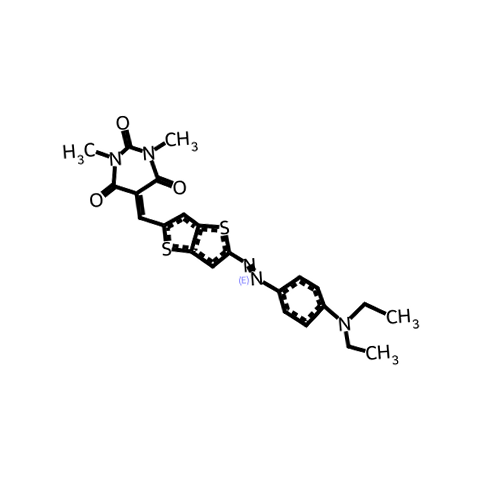 CCN(CC)c1ccc(/N=N/c2cc3sc(C=C4C(=O)N(C)C(=O)N(C)C4=O)cc3s2)cc1